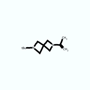 C=C(C)N1CC2(C1)CN(C(C)(C)C)C2